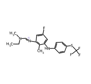 CCN(C)/C=N/c1cc(F)cc(Nc2ccc(SC(F)(F)F)cc2)c1C